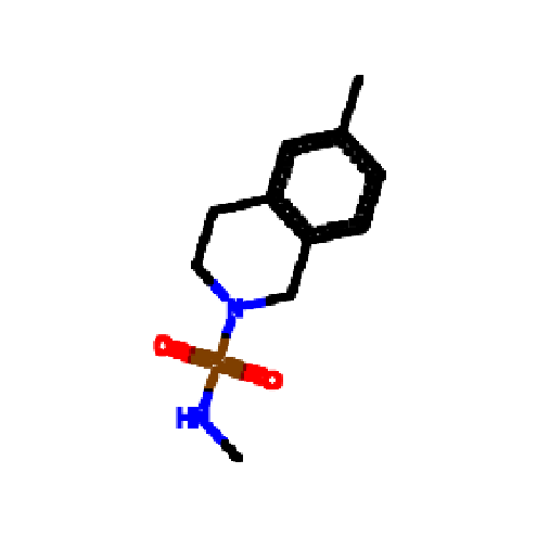 CNS(=O)(=O)N1CCc2cc(C)ccc2C1